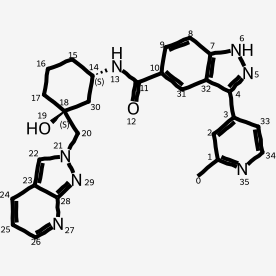 Cc1cc(-c2n[nH]c3ccc(C(=O)N[C@H]4CCC[C@@](O)(Cn5cc6cccnc6n5)C4)cc23)ccn1